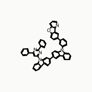 c1ccc(-c2cc(-n3c4ccccc4c4ccc(-c5ccc6c(c5)c5ccccc5n6-c5cccc(-c6ccc7oc8cccnc8c7c6)c5)cc43)nc(-c3ccccc3)n2)cc1